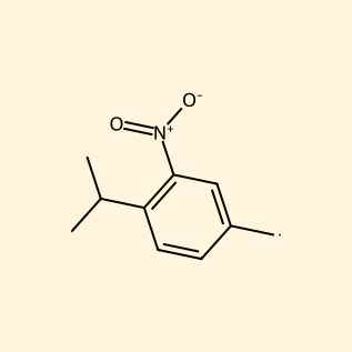 [CH2]c1ccc(C(C)C)c([N+](=O)[O-])c1